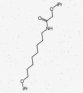 CC(C)OCCCCCCCCNC(=O)COC(C)C